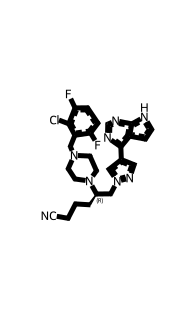 N#CCCC[C@H](Cn1cc(-c2ncnc3[nH]ccc23)cn1)N1CCN(Cc2c(F)ccc(F)c2Cl)CC1